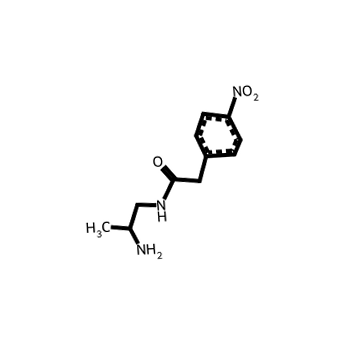 CC(N)CNC(=O)Cc1ccc([N+](=O)[O-])cc1